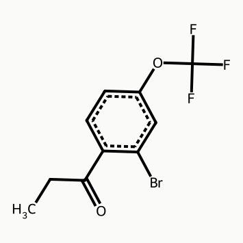 CCC(=O)c1ccc(OC(F)(F)F)cc1Br